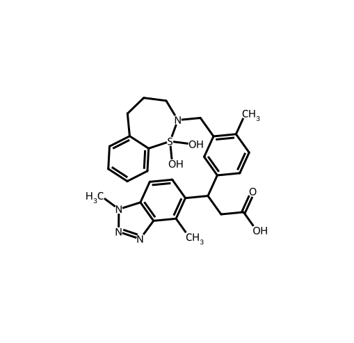 Cc1ccc(C(CC(=O)O)c2ccc3c(nnn3C)c2C)cc1CN1CCCc2ccccc2S1(O)O